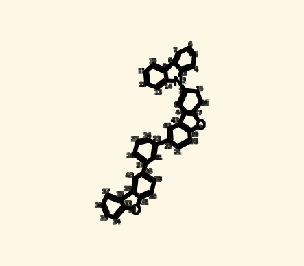 C1=C(n2c3ccccc3c3ccccc32)CCc2oc3ccc(-c4cccc(-c5ccc6oc7ccccc7c6c5)c4)cc3c21